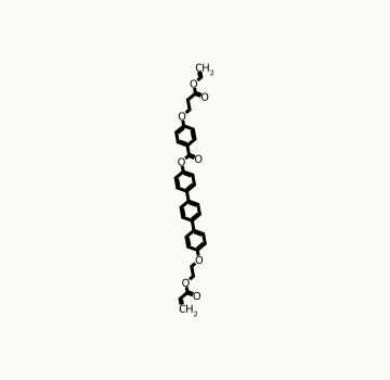 C=COC(=O)CCOc1ccc(C(=O)Oc2ccc(-c3ccc(-c4ccc(OCCOC(=O)C=C)cc4)cc3)cc2)cc1